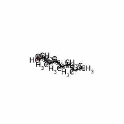 CC(C)=CCCC(C)=CCCC(C)=CCCC(C)=CCCC(C)=CCCC(C)=CCCC(C)=CC(=O)O